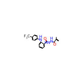 C=C(C)C(=O)NNC(=O)c1ccccc1Nc1ccc(C(F)(F)F)cc1